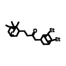 CCC1C2CCC(C(CC(=O)CCC3CC4CCC3(C)C(C)(C)C4)C2)C1CC